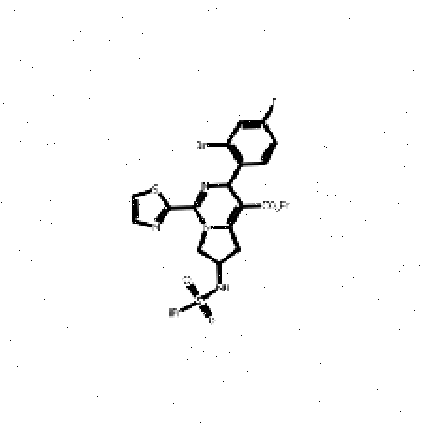 CCOC(=O)C1=C2CC(NS(=O)(=O)C(C)C)CN2C(c2nccs2)=NC1c1ccc(F)cc1Br